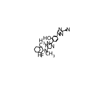 CN(c1cnc(-c2ccc(-n3cnc(C#N)n3)cc2O)nn1)[C@H]1C[C@]2(C)CCC[C@@H](C2)[C@H]1F